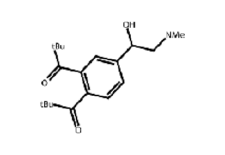 CNCC(O)c1ccc(C(=O)C(C)(C)C)c(C(=O)C(C)(C)C)c1